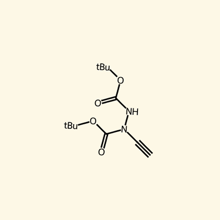 C#CN(NC(=O)OC(C)(C)C)C(=O)OC(C)(C)C